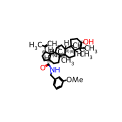 C=C(C)[C@@H]1CC[C@]2(C(=O)NCc3cccc(OC)c3)CC[C@]3(C)[C@H](CC[C@@H]4[C@@]5(C)CC[C@H](O)C(C)(C)[C@@H]5CC[C@]43C)[C@@H]12